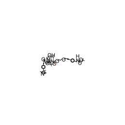 Cc1ncsc1-c1ccc(CNC(=O)[C@@H]2C[C@@H](O)CN2C(=O)[C@@H](NC(=O)COCCCOCC#Cc2ccc([C@@H](C)NC(=O)OC(C)(C)C)cc2)C(C)(C)C)cc1